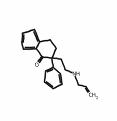 C=CCNCCC1(c2ccccc2)CCc2ccccc2C1=O